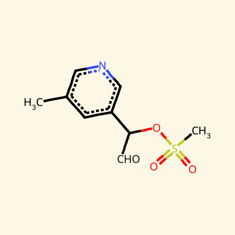 Cc1cncc(C(C=O)OS(C)(=O)=O)c1